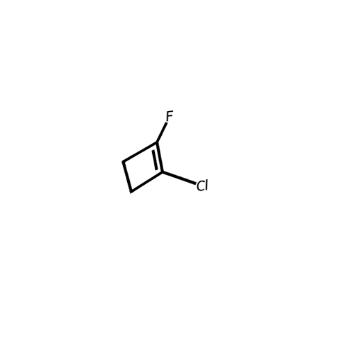 FC1=C(Cl)CC1